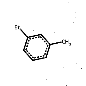 CCc1[c]c(C)ccc1